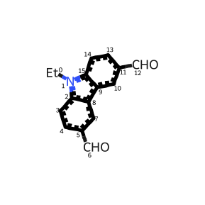 CCn1c2ccc(C=O)cc2c2cc(C=O)ccc21